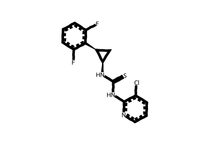 Fc1cccc(F)c1[C@H]1C[C@H]1NC(=S)Nc1ncccc1Cl